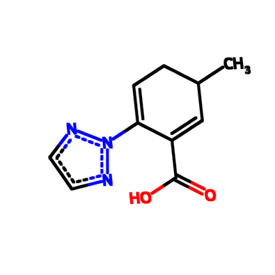 CC1C=C(C(=O)O)C(n2nccn2)=CC1